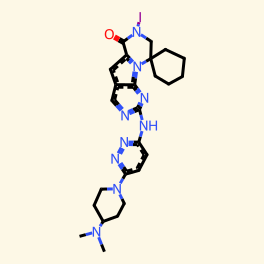 CN(C)C1CCN(c2ccc(Nc3ncc4cc5n(c4n3)C3(CCCCC3)CN(I)C5=O)nn2)CC1